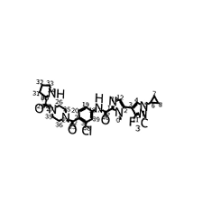 Cn1c(-c2cn(C3CC3)nc2C(F)(F)F)cnc1C(=O)Nc1ccc(C(=O)N2CCN(C(=O)[C@H]3CCCN3)CC2)c(Cl)c1